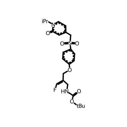 CC(C)n1ccc(CS(=O)(=O)c2ccc(OC/C(=C/F)CNC(=O)OC(C)(C)C)cc2)cc1=O